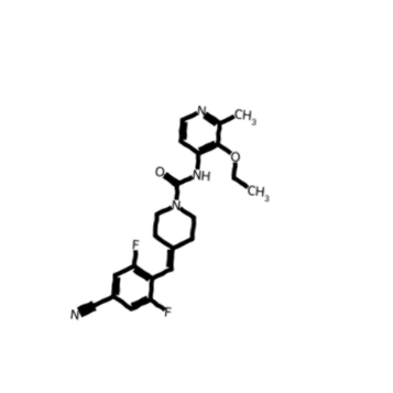 CCOc1c(NC(=O)N2CCC(=Cc3c(F)cc(C#N)cc3F)CC2)ccnc1C